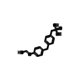 O=P(O)(O)Cc1ccc(Cc2ccc(OCO)cc2)cc1